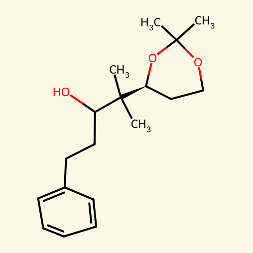 CC1(C)OCC[C@@H](C(C)(C)C(O)CCc2ccccc2)O1